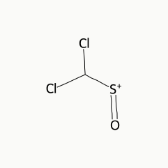 O=[S+]C(Cl)Cl